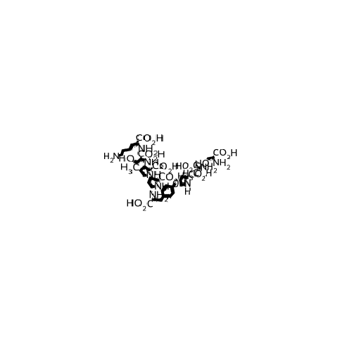 C[C@@H](O)[C@H](N)C(=O)O.C[C@H](N)C(=O)O.NCCCC[C@H](N)C(=O)O.N[C@@H](CO)C(=O)O.N[C@@H](Cc1ccc(O)cc1)C(=O)O.O=C(O)[C@@H]1CCCN1.O=C(O)[C@@H]1CCCN1.O=C(O)[C@@H]1CCCN1